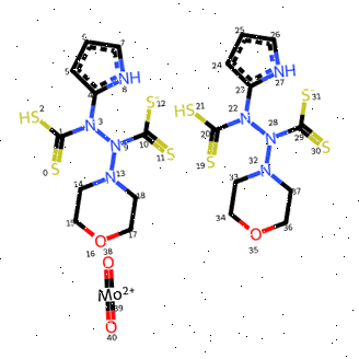 S=C(S)N(c1ccc[nH]1)N(C(=S)[S-])N1CCOCC1.S=C(S)N(c1ccc[nH]1)N(C(=S)[S-])N1CCOCC1.[O]=[Mo+2]=[O]